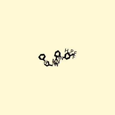 FC(F)(P)c1ccc(Nc2ccccc2-c2nnn(CC3CCN(c4ccccc4)C3)n2)cc1